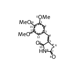 COc1cc(C=C2SC(=O)NC2=O)cc(OC)c1OC